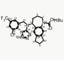 CC(C)(C)OC(=O)N1CCC[C@H](N(Cc2cc(C(F)(F)F)cc(C(F)(F)F)c2)c2nn[nH]n2)c2cc3c(cc21)CCC3